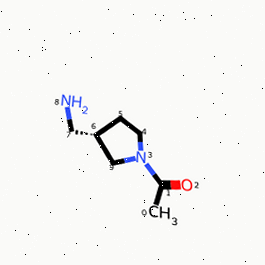 CC(=O)N1CC[C@@H](CN)C1